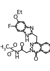 CCOc1cc2nc(Cc3nn(CC(=O)NS(C)(=O)=O)c(=O)c4ccccc34)[nH]c2cc1F